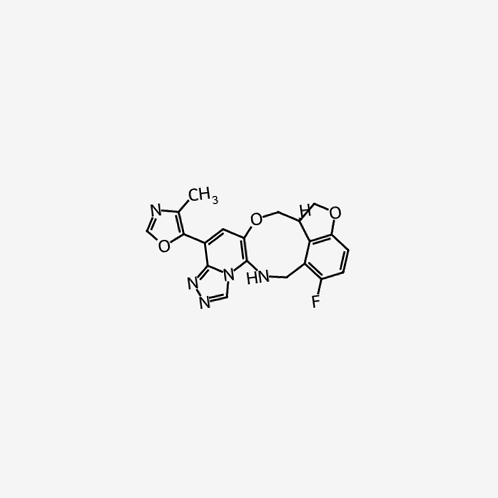 Cc1ncoc1-c1cc2c(n3cnnc13)NCc1c(F)ccc3c1[C@@H](CO3)CO2